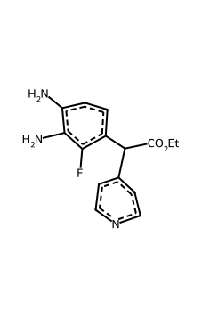 CCOC(=O)C(c1ccncc1)c1ccc(N)c(N)c1F